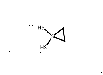 SS1(S)CC1